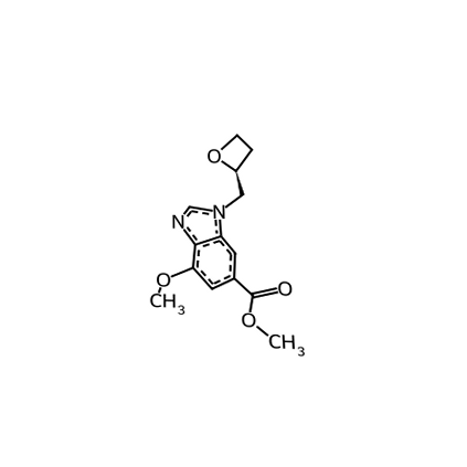 COC(=O)c1cc(OC)c2ncn(C[C@@H]3CCO3)c2c1